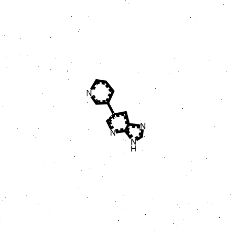 [c]1nc2cc(-c3cccnc3)cnc2[nH]1